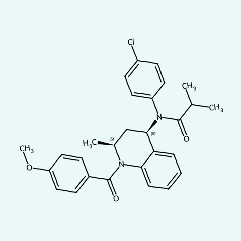 COc1ccc(C(=O)N2c3ccccc3[C@H](N(C(=O)C(C)C)c3ccc(Cl)cc3)C[C@@H]2C)cc1